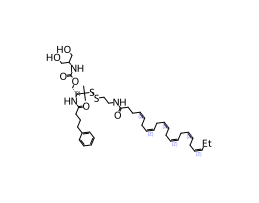 CC/C=C\C/C=C\C/C=C\C/C=C\C/C=C\C/C=C\CCC(=O)NCCSSC(C)(C)[C@@H](COC(=O)NC(CO)CO)NC(=O)CCCc1ccccc1